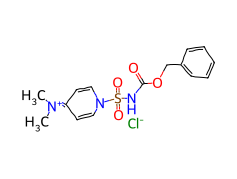 C[N+](C)=c1ccn(S(=O)(=O)NC(=O)OCc2ccccc2)cc1.[Cl-]